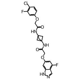 O=C(COc1ccc(Cl)c(F)c1)NC12CC(NC(=O)COc3cc(F)c4cn[nH]c4c3)(C1)C2